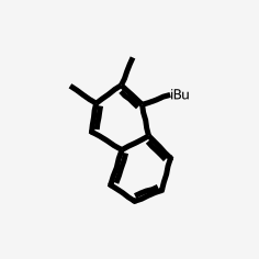 CCC(C)c1c(C)c(C)cc2ccccc12